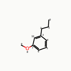 C[CH]Cc1cccc(OC)c1